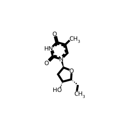 CC[C@H]1O[C@H](n2cc(C)c(=O)[nH]c2=O)C[C@H]1O